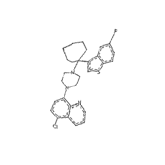 Fc1ccc2scc(C3(N4CCN(c5ccc(Cl)c6cccnc56)CC4)CCCCC3)c2c1